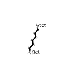 CCC[CH]CCCCCCCCCCCCCCCCCC